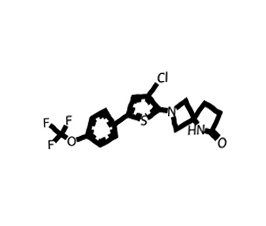 O=C1CCC2(CN(c3sc(-c4ccc(OC(F)(F)F)cc4)cc3Cl)C2)N1